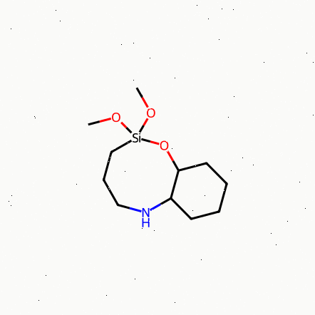 CO[Si]1(OC)CCCNC2CCCCC2O1